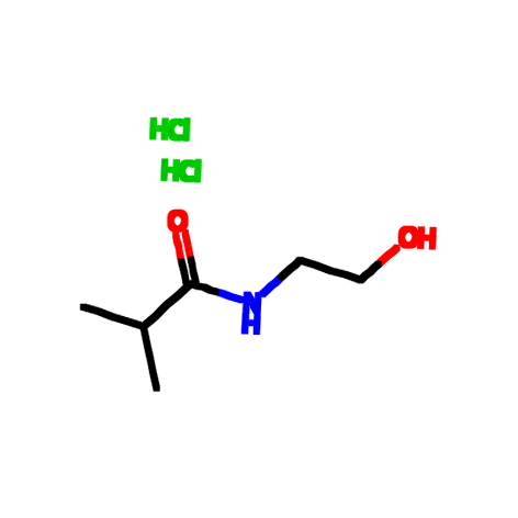 CC(C)C(=O)NCCO.Cl.Cl